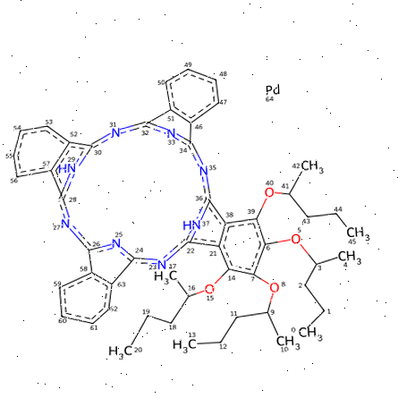 CCCC(C)Oc1c(OC(C)CCC)c(OC(C)CCC)c2c3nc4nc(nc5[nH]c(nc6nc(nc([nH]3)c2c1OC(C)CCC)-c1ccccc1-6)c1ccccc51)-c1ccccc1-4.[Pd]